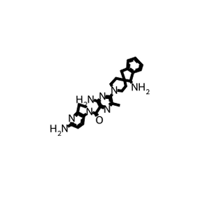 Cc1nc(C(=O)N2CCc3nc(N)ccc32)c(N)nc1N1CCC2(CC1)Cc1ccccc1C2N